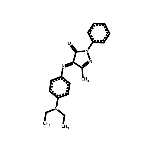 CCN(CC)c1ccc(N=C2C(=O)N(c3ccccc3)N=C2C)cc1